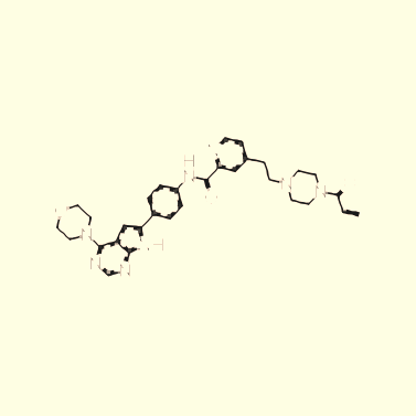 C=CC(=O)N1CCN(CCc2ccnc(C(=O)Nc3ccc(-c4cc5c(N6CCOCC6)ncnc5[nH]4)cc3)c2)CC1